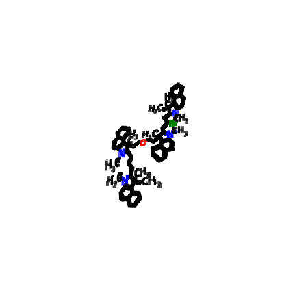 CCC1(C)C(=CC=CC2=[N+](C)c3ccc4ccccc4c3C2(C)CCOCCC2(C)C(C=C(Br)C=C3N(C)c4ccc5ccccc5c4C3(C)CC)=[N+](C)c3ccc4ccccc4c32)N(C)c2ccc3ccccc3c21